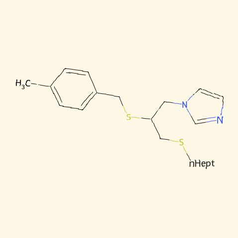 CCCCCCCSCC(Cn1ccnc1)SCc1ccc(C)cc1